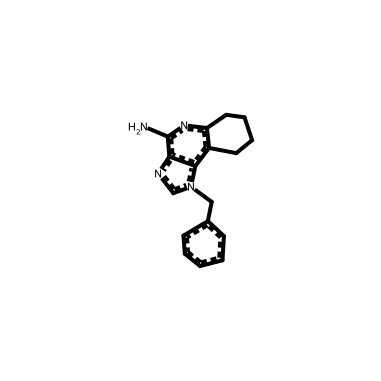 Nc1nc2c(c3c1ncn3Cc1ccccc1)CCCC2